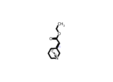 CCOC(=O)/C=C1/CN2CCC1CC2